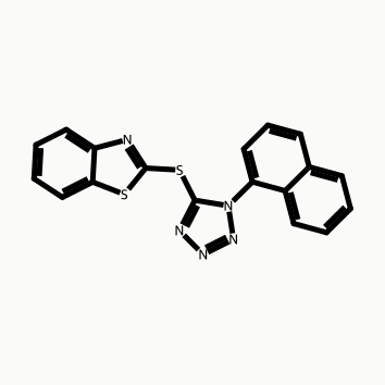 c1ccc2c(-n3nnnc3Sc3nc4ccccc4s3)cccc2c1